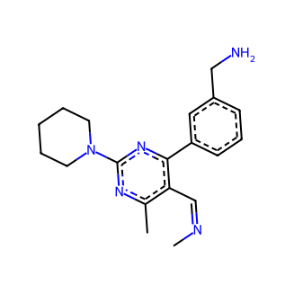 C/N=C\c1c(C)nc(N2CCCCC2)nc1-c1cccc(CN)c1